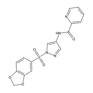 O=C(Nc1cnn(S(=O)(=O)c2ccc3c(c2)OCO3)c1)c1ccccn1